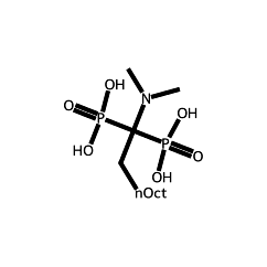 CCCCCCCCCC(N(C)C)(P(=O)(O)O)P(=O)(O)O